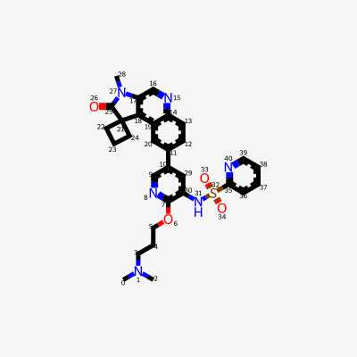 CN(C)CCCOc1ncc(-c2ccc3ncc4c(c3c2)C2(CCC2)C(=O)N4C)cc1NS(=O)(=O)c1ccccn1